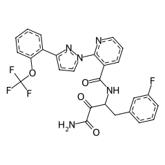 NC(=O)C(=O)C(Cc1cccc(F)c1)NC(=O)c1cccnc1-n1ccc(-c2ccccc2OC(F)(F)F)n1